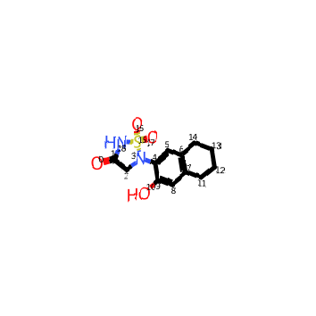 O=C1CN(c2cc3c(cc2O)CCCC3)S(=O)(=O)N1